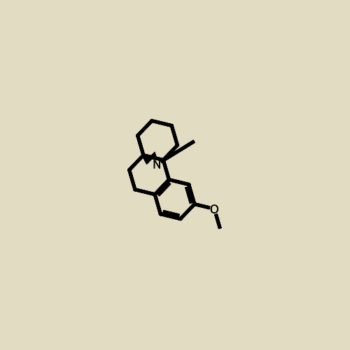 COc1ccc2c(c1)C13CCCCC1(CC2)CCN3C